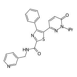 CC(C)n1nc(-c2sc(C(=O)NCc3cccnc3)nc2-c2ccccc2)ccc1=O